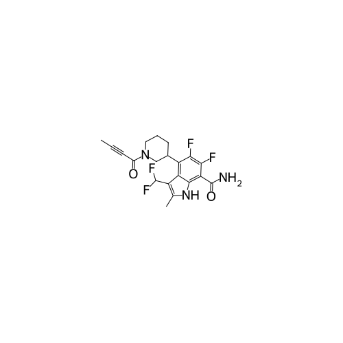 CC#CC(=O)N1CCCC(c2c(F)c(F)c(C(N)=O)c3[nH]c(C)c(C(F)F)c23)C1